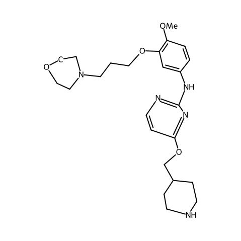 COc1ccc(Nc2nccc(OCC3CCNCC3)n2)cc1OCCCN1CCOCC1